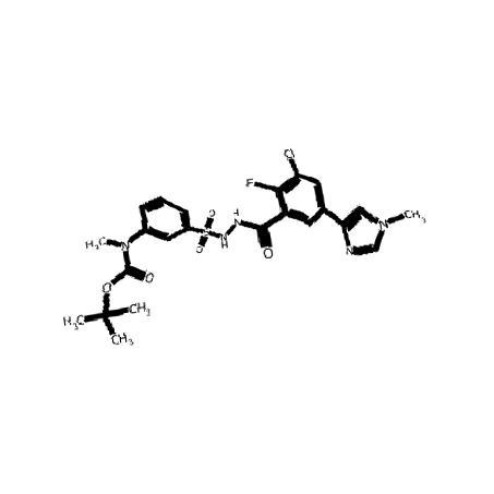 CN(C(=O)OC(C)(C)C)c1cccc(S(=O)(=O)NNC(=O)c2cc(-c3cn(C)cn3)cc(Cl)c2F)c1